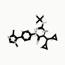 Cc1ncn(C)c1-c1ccc(NC(=O)[C@@H](NC(=O)OC(C)(C)C)C(C2CC2)C2CC2)cc1